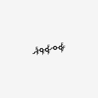 C/C=C/C(F)=C(\F)c1ccc(-c2cc(F)c(CCc3ccc(-c4cc(F)c(F)c(F)c4)cc3)c(F)c2)c(F)c1